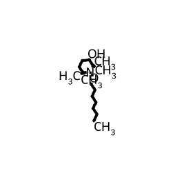 CCCCCCCCON1C(C)(C)CCC(O)C1(C)C